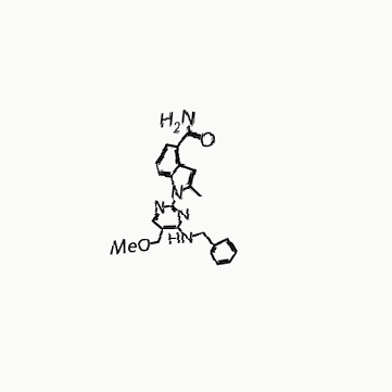 COCc1cnc(-n2c(C)cc3c(C(N)=O)cccc32)nc1NCc1ccccc1